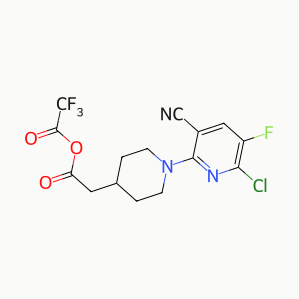 N#Cc1cc(F)c(Cl)nc1N1CCC(CC(=O)OC(=O)C(F)(F)F)CC1